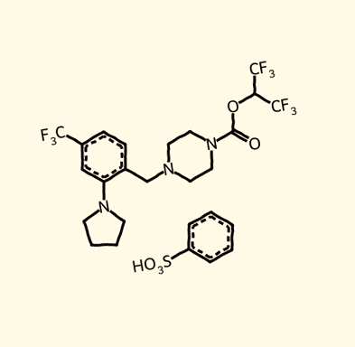 O=C(OC(C(F)(F)F)C(F)(F)F)N1CCN(Cc2ccc(C(F)(F)F)cc2N2CCCC2)CC1.O=S(=O)(O)c1ccccc1